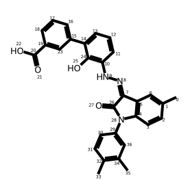 Cc1ccc2c(c1)C(=NNc1cccc(-c3cccc(C(=O)O)c3)c1O)C(=O)N2c1ccc(C)c(C)c1